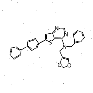 C1=C(CN(Cc2ccccc2)c2ncnc3cc(-c4ccc(-c5ccccc5)cc4)sc23)OCO1